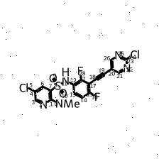 CNc1ncc(Cl)cc1S(=O)(=O)Nc1ccc(F)c(C#Cc2cnc(Cl)nc2)c1F